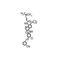 CN(C)C/C=C/C(=O)Nc1c(O[C@H]2CCOC2)ccc2c(Nc3ccc(OCc4cccc(C#N)c4)c(Cl)c3)c(C#N)cnc12